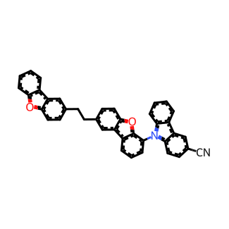 N#Cc1ccc2c(c1)c1ccccc1n2-c1cccc2c1oc1ccc(CCc3ccc4oc5ccccc5c4c3)cc12